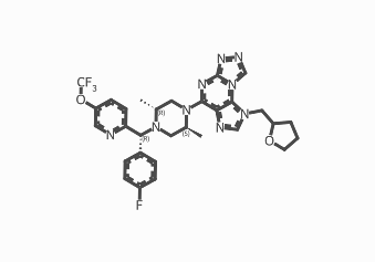 C[C@@H]1CN(c2nc3nncn3c3c2ncn3CC2CCCO2)[C@@H](C)CN1[C@H](c1ccc(F)cc1)c1ccc(OC(F)(F)F)cn1